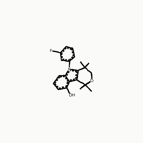 CC1(C)COC(C)(C)c2c1n(-c1cccc(F)c1)c1cccc(O)c21